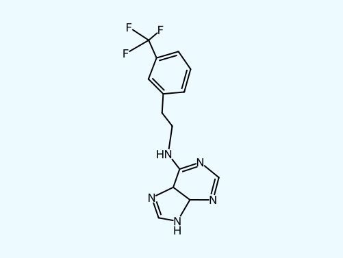 FC(F)(F)c1cccc(CCNC2=NC=NC3NC=NC23)c1